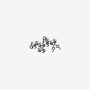 C=Cc1ccc(-c2c(-c3ccc(C=C)cc3)c3cc(-c4sc(-c5cc6c(-c7ccc(C)s7)c(-c7ccc(C)s7)c7cc(-c8sc(C)c9c(F)c(C(C)=O)sc89)sc7c6s5)c5c(F)c(C(C)=O)sc45)sc3c3sc(C)cc23)cc1